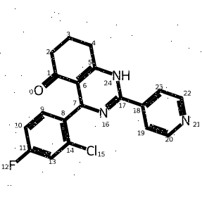 O=C1CCCC2=C1C(c1ccc(F)cc1Cl)N=C(c1ccncc1)N2